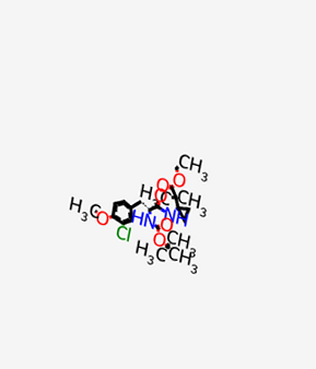 CCOC(=O)C(C)(C)C1(NC(=O)[C@@H](Cc2ccc(OC)c(Cl)c2)NC(=O)OC(C)(C)C)CC1